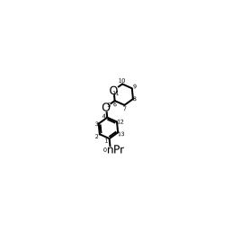 CCCc1ccc(OC2CCCCO2)cc1